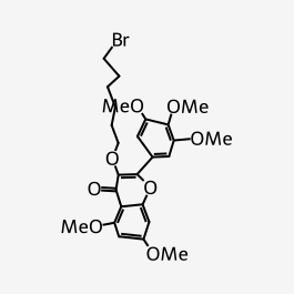 COc1cc(OC)c2c(=O)c(OCCCCCCBr)c(-c3cc(OC)c(OC)c(OC)c3)oc2c1